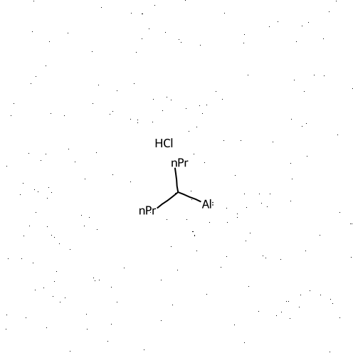 CCC[CH]([Al])CCC.Cl